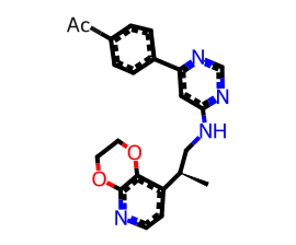 CC(=O)c1ccc(-c2cc(NC[C@@H](C)c3ccnc4c3OCCO4)ncn2)cc1